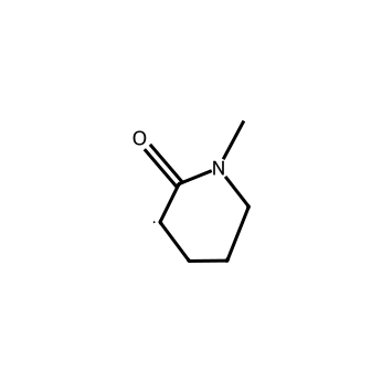 CN1CCC[CH]C1=O